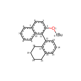 CC(C)(C)Oc1ccc2ccccc2c1-c1cccc2c1CCCC2